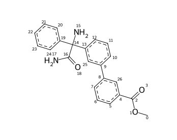 COC(=O)c1cccc(-c2cccc(C(N)(C(N)=O)c3ccccc3)c2)c1